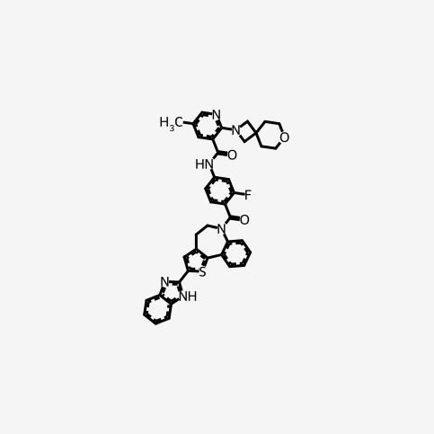 Cc1cnc(N2CC3(CCOCC3)C2)c(C(=O)Nc2ccc(C(=O)N3CCc4cc(-c5nc6ccccc6[nH]5)sc4-c4ccccc43)c(F)c2)c1